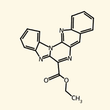 CCOC(=O)c1nc2cc3ccccc3nc2n2c1nc1ccccc12